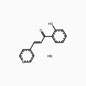 Br.O=C(/C=C/c1ccncc1)c1ccccc1O